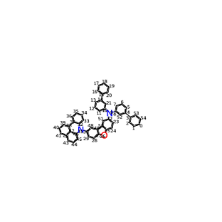 c1ccc(-c2cccc(N(c3cccc(-c4ccccc4)c3)c3ccc4oc5ccc(N6c7ccccc7-c7cccc8cccc6c78)cc5c4c3)c2)cc1